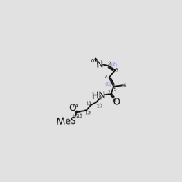 C=N/C=C\C=C(/C)C(=O)NCCCC(=O)SC